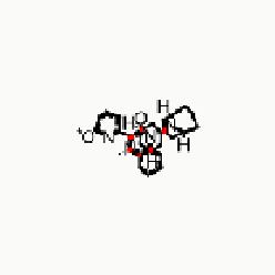 COc1cccc(-c2nc3ccccc3n([C@H]3C[C@H]4CCC[C@@H](C3)N4[C@H]3C[C@@H]4C[C@@H](C)C[C@@H](C4)C3)c2=O)n1